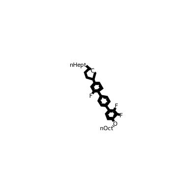 CCCCCCCCOc1ccc(-c2ccc(-c3ccc(C4CCC(CCCCCCC)CC4)cc3F)cc2)c(F)c1F